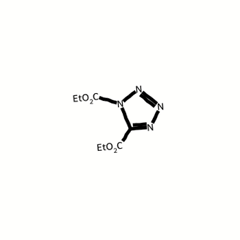 CCOC(=O)c1nnnn1C(=O)OCC